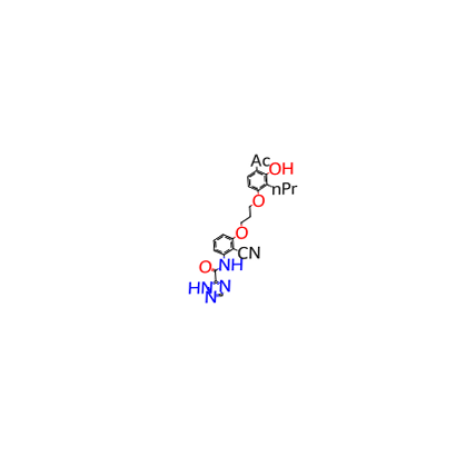 CCCc1c(OCCCOc2cccc(NC(=O)c3ncn[nH]3)c2C#N)ccc(C(C)=O)c1O